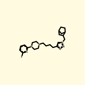 Fc1cccc(N2CCN(CCCCc3cn(CC4CC5CCC4C5)nn3)CC2)n1